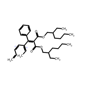 C=C/C=C\C(=C/C)C(=C(C(=O)OCC(CC)CCCC)C(=O)OCC(CC)CCCC)c1ccccc1